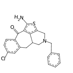 Nc1sc2c3c1C(=O)c1ccc(Cl)cc1CC3CN(Cc1ccccc1)C2